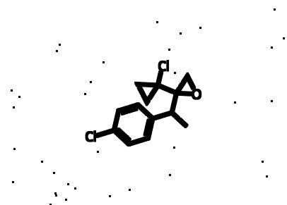 CC(c1ccc(Cl)cc1)C1(C2(Cl)CC2)CO1